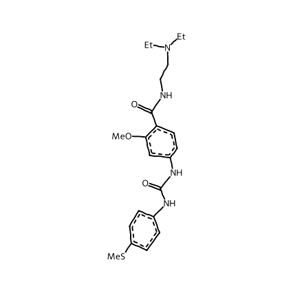 CCN(CC)CCNC(=O)c1ccc(NC(=O)Nc2ccc(SC)cc2)cc1OC